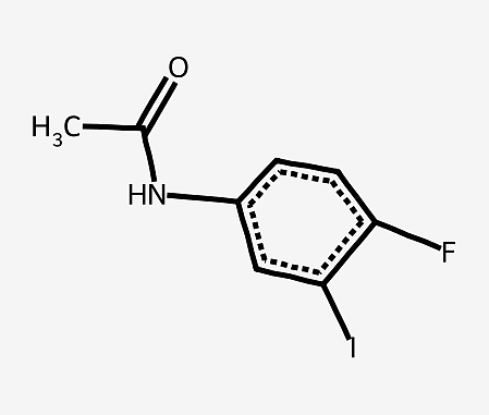 CC(=O)Nc1ccc(F)c(I)c1